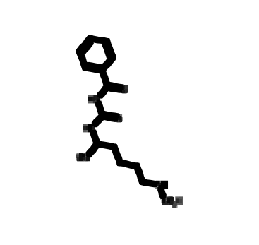 CC(C)(C)C(CCCCNC(=O)O)NC(=S)NC(=O)c1ccccc1